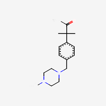 COC(=O)C(C)(C)c1ccc(CN2CCN(C(=O)O)CC2)cc1